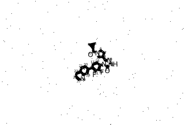 O=C(C1CC1)N1CCC(c2n[nH]c(=O)n2-c2ccc(-c3ccc4cccnc4c3)c(F)c2F)C1